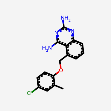 Cc1cc(Cl)ccc1OCc1cccc2nc(N)nc(N)c12